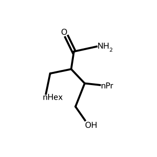 CCCCCCCC(C(N)=O)C(CO)CCC